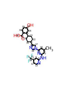 Cc1cc(Nc2cc(C(F)(F)F)ccn2)nc(-n2cnc(C3CCC(c4cc(O)ccc4C(=O)O)CC3)c2)c1